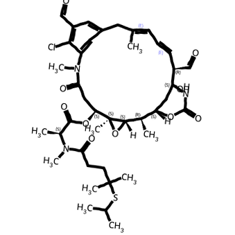 C/C1=C\C=C\[C@@H](C=O)[C@@]2(O)C[C@H](OC(=O)N2)[C@@H](C)[C@@H]2O[C@@]2(C)[C@@H](OC(=O)[C@H](C)N(C)C(=O)CCC(C)(C)SC(C)C)CC(=O)N(C)c2cc(cc(C=O)c2Cl)C1